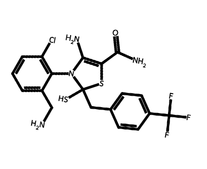 NCc1cccc(Cl)c1N1C(N)=C(C(N)=O)SC1(S)Cc1ccc(C(F)(F)F)cc1